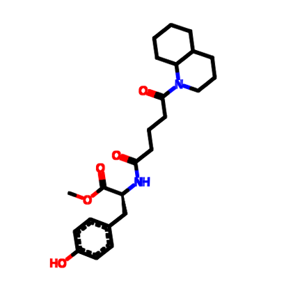 COC(=O)[C@H](Cc1ccc(O)cc1)NC(=O)CCCC(=O)N1CCCC2CCCCC21